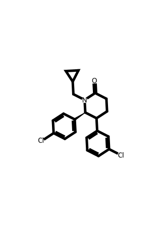 O=C1CCC(c2cccc(Cl)c2)[C@@H](c2ccc(Cl)cc2)N1CC1CC1